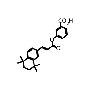 CC1(C)CCC(C)(C)c2cc(C=CC(=O)Oc3cccc(C(=O)O)c3)ccc21